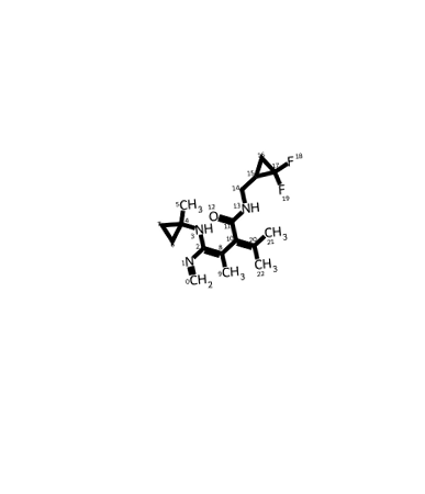 C=N/C(NC1(C)CC1)=C(\C)C(C(=O)NCC1CC1(F)F)=C(C)C